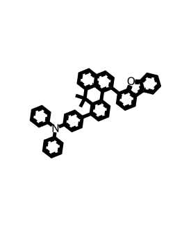 CC1(C)c2c(-c3ccc(N(c4ccccc4)c4ccccc4)cc3)cccc2-c2c(-c3cccc4c3oc3ccccc34)ccc3cccc1c23